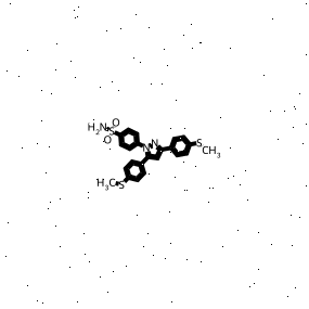 CSc1ccc(-c2cc(-c3ccc(SC)cc3)n(-c3ccc(S(N)(=O)=O)cc3)n2)cc1